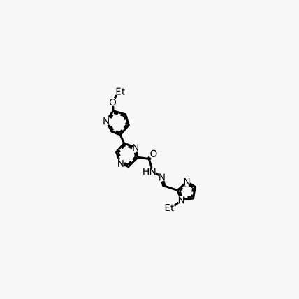 CCOc1ccc(-c2cncc(C(=O)N/N=C/c3nccn3CC)n2)cn1